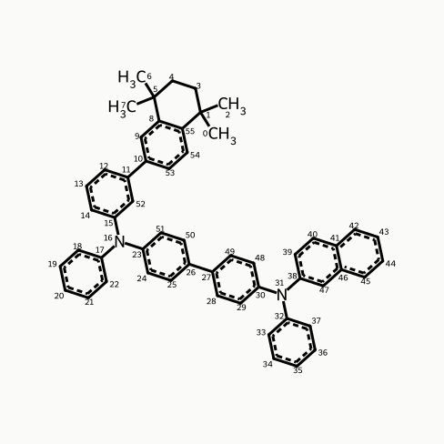 CC1(C)CCC(C)(C)c2cc(-c3cccc(N(c4ccccc4)c4ccc(-c5ccc(N(c6ccccc6)c6ccc7ccccc7c6)cc5)cc4)c3)ccc21